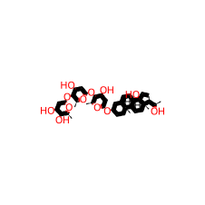 C[C@H](O)[C@H]1CC[C@]2(O)[C@@H]3CC=C4C[C@@H](O[C@H]5C[C@H](O)[C@H](O[C@H]6C[C@H](O)[C@H](O[C@H]7C[C@H](O)[C@H](O)[C@@H](C)O7)[C@@H](C)O6)[C@@H](C)O5)CC[C@]4(C)[C@H]3CC[C@]12C